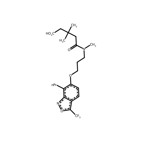 CCCc1c(OCCCN(C)C(=O)CC(C)(C)CC(=O)O)ccc2c(C(F)(F)F)onc12